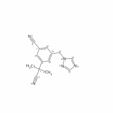 CC(C)(C#N)c1cc(C#N)cc(Cn2cncn2)c1